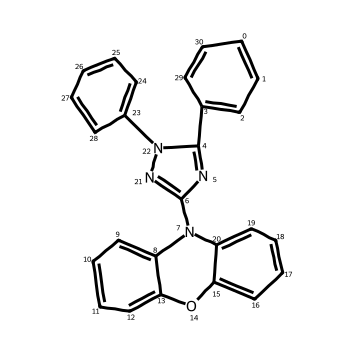 c1ccc(-c2nc(N3c4ccccc4Oc4ccccc43)nn2-c2ccccc2)cc1